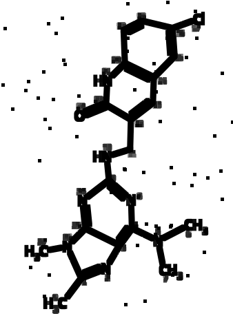 Cc1nc2c(N(C)C)nc(NCc3cc4cc(Cl)ccc4[nH]c3=O)nc2n1C